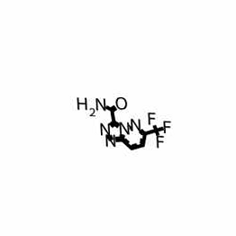 NC(=O)c1nnc2ccc(C(F)(F)F)nn12